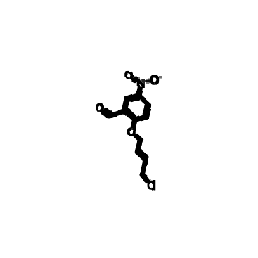 O=Cc1cc([N+](=O)[O-])ccc1OCC=CCCl